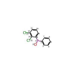 O=[P](c1ccccc1)c1cccc(Cl)c1Cl